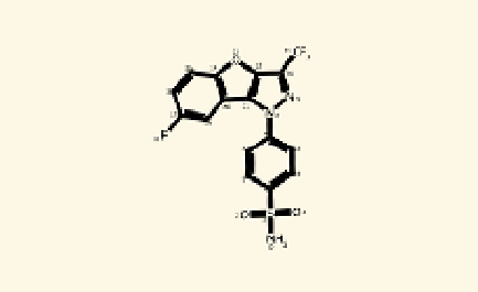 NS(=O)(=O)c1ccc(-n2nc(C(F)(F)F)c3oc4ccc(F)cc4c32)cc1